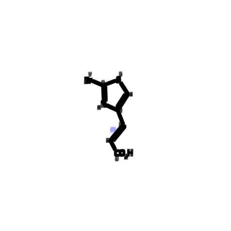 O=C(O)/C=C/c1csc(Br)n1